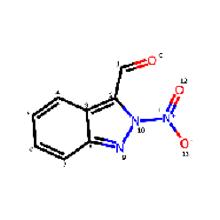 O=Cc1c2ccccc2nn1[N+](=O)[O-]